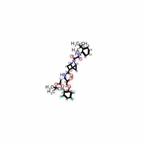 CC(C)(C)OC(=O)C[C@H](NC(=O)C1CC2N(C(=O)C(=O)Nc3ccccc3C(C)(C)C)C3CC123)C(=O)COc1c(F)c(F)cc(F)c1F